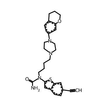 C#Cc1ccc2cc(N(CCCCN3CCN(c4ccc5c(c4)OCCC5)CC3)C(N)=O)sc2c1